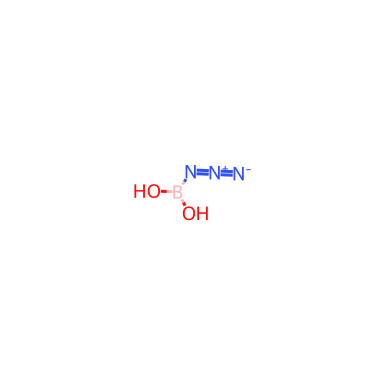 [N-]=[N+]=NB(O)O